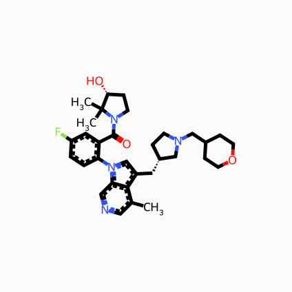 Cc1cncc2c1c(C[C@@H]1CCN(CC3CCOCC3)C1)cn2-c1ccc(F)cc1C(=O)N1CC[C@@H](O)C1(C)C